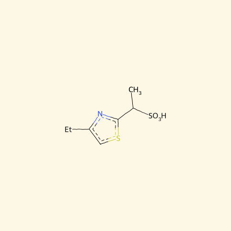 CCc1csc(C(C)S(=O)(=O)O)n1